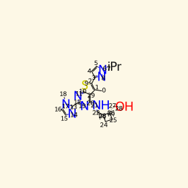 Cc1c(-c2ccn(C(C)C)n2)sc2nc(-c3nccn3C)nc(NC[C@@H]3CC[C@H]3CO)c12